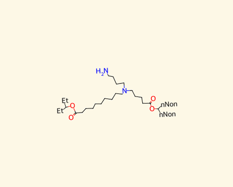 CCCCCCCCCC(CCCCCCCCC)OC(=O)CCCCN(CCCCN)CCCCCCCCCC(=O)OC(CC)CC